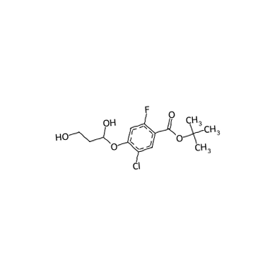 CC(C)(C)OC(=O)c1cc(Cl)c(OC(O)CCO)cc1F